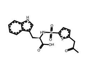 CC(=O)Cc1ccc(S(=O)(=O)N[C@H](Cc2c[nH]c3ccccc23)C(=O)O)s1